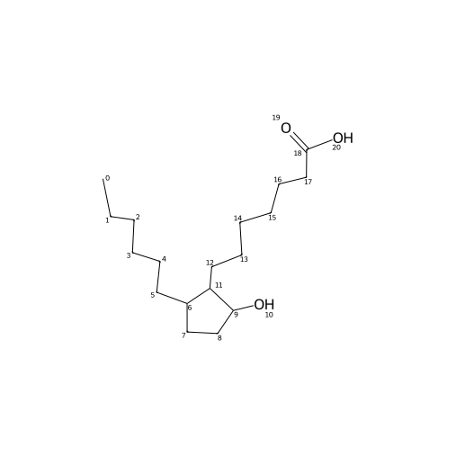 CCCCCCC1CCC(O)C1CCCCCCC(=O)O